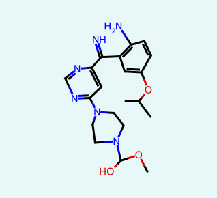 COC(O)N1CCN(c2cc(C(=N)c3cc(OC(C)C)ccc3N)ncn2)CC1